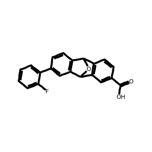 O=C(O)c1ccc2c(c1)C1OC2c2ccc(-c3ccccc3F)cc21